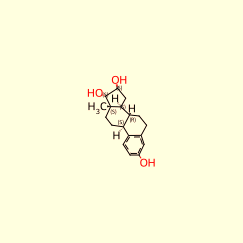 C[C@]12CC[C@@H]3c4ccc(O)cc4CC[C@H]3[C@@H]1C[C@H](O)[C@H]2O